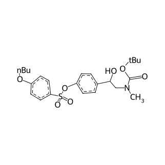 CCCCOc1ccc(S(=O)(=O)Oc2ccc(C(O)CN(C)C(=O)OC(C)(C)C)cc2)cc1